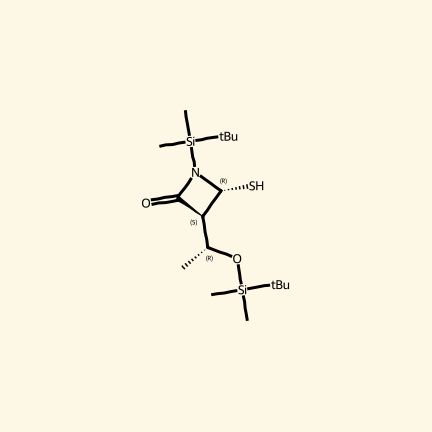 C[C@@H](O[Si](C)(C)C(C)(C)C)[C@H]1C(=O)N([Si](C)(C)C(C)(C)C)[C@@H]1S